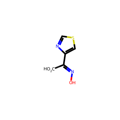 O=C(O)/C(=N\O)c1cscn1